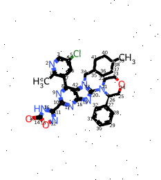 Cc1ncc(Cl)cc1-c1nc(-c2noc(=O)[nH]2)nc2nc(N3CCOC[C@H]3c3ccccc3)n(CC3CCC(C)CC3)c12